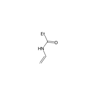 [CH]=CNC(=O)CC